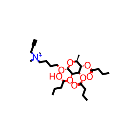 C#CC[N+](C)(C)CCCCO[C@@H]1O[C@@H](C)[C@H](OC(=O)CCC)[C@@H](OC(=O)CCC)[C@H]1OC(O)CCC